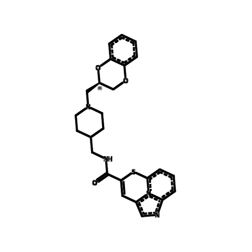 O=C(NCC1CCN(C[C@@H]2COc3ccccc3O2)CC1)C1=Cc2cnc3cccc(n23)S1